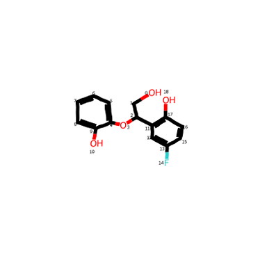 OCC(Oc1ccccc1O)c1cc(F)ccc1O